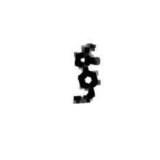 CNCN1CCC(N2CCN(C(C)C)C2=O)CC1